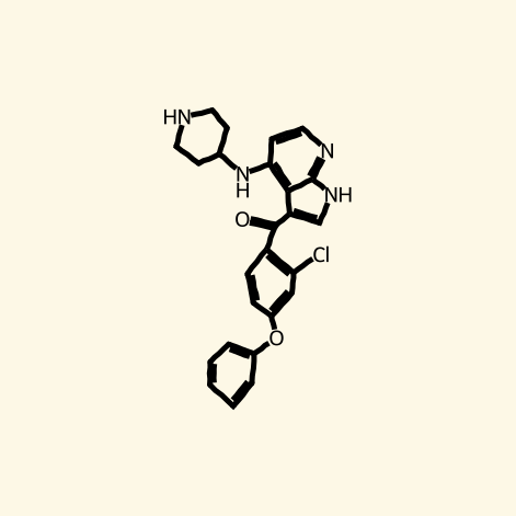 O=C(c1ccc(Oc2ccccc2)cc1Cl)c1c[nH]c2nccc(NC3CCNCC3)c12